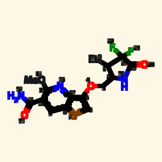 CCC1C(COc2csc3cc(C(N)=O)c(OC)nc23)NC(=O)C1(F)F